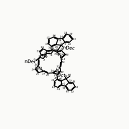 CCCCCCCCCCCCCCCCC1(CCCCCCCCCC)c2ccccc2-c2cccc(-c3c4nc(cc5ccc(cc6nc(cc7ccc3[nH]7)C=C6c3cccc6c3C(C)(CCCCCCCC)c3ccccc3-6)[nH]5)C=C4)c21